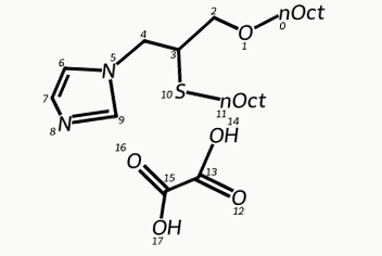 CCCCCCCCOCC(Cn1ccnc1)SCCCCCCCC.O=C(O)C(=O)O